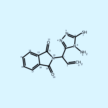 C=CC(c1nnc(S)n1N)N1C(=O)c2ccccc2C1=O